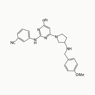 CCCc1cc(N2CCC(NCc3ccc(OC)cc3)C2)nc(Nc2cccc(C#N)c2)n1